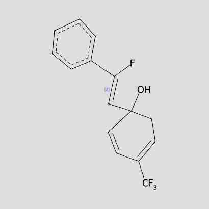 OC1(/C=C(\F)c2ccccc2)C=CC(C(F)(F)F)=CC1